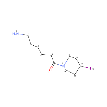 NCCCCCC(=O)N1CCC(I)CC1